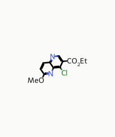 CCOC(=O)c1cnc2ccc(OC)nc2c1Cl